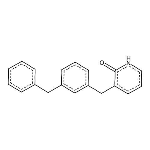 O=c1[nH]cccc1Cc1cccc(Cc2ccccc2)c1